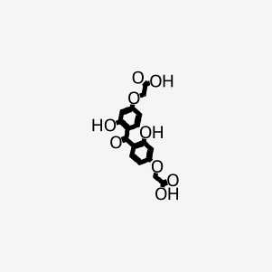 O=C(O)COc1ccc(C(=O)c2ccc(OCC(=O)O)cc2O)c(O)c1